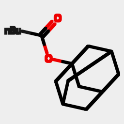 CCCCC(=O)OC12CC3CC(CC(C3)C1)C2